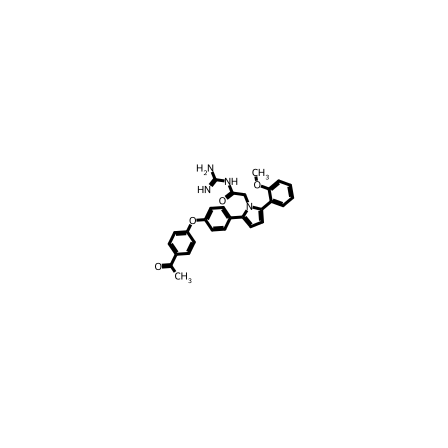 COc1ccccc1-c1ccc(-c2ccc(Oc3ccc(C(C)=O)cc3)cc2)n1CC(=O)NC(=N)N